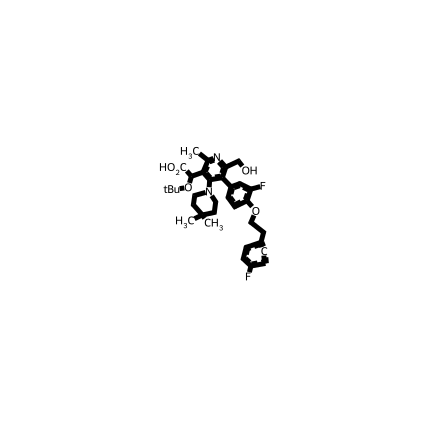 Cc1nc(CO)c(-c2ccc(OCCc3ccc(F)cc3)c(F)c2)c(N2CCC(C)(C)CC2)c1C(OC(C)(C)C)C(=O)O